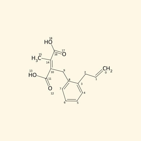 C=CCc1ccccc1C/C(C(=O)O)=C(/C)C(=O)O